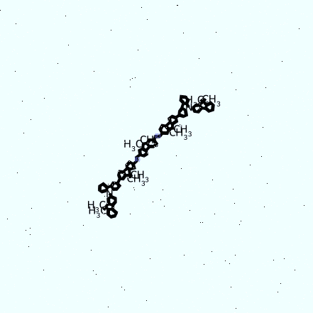 CC1(C)c2cc(/C=C/c3ccc4c(c3)C(C)(C)c3cc(-c5ccc6c(c5)c5ccccc5n6-c5ccc6c(c5)C(C)(C)c5ccccc5-6)ccc3-4)ccc2-c2ccc(/C=C/c3ccc4c(c3)C(C)(C)c3cc(-c5ccc6c(c5)c5ccccc5n6-c5ccc6c(c5)C(C)(C)c5ccccc5-6)ccc3-4)cc21